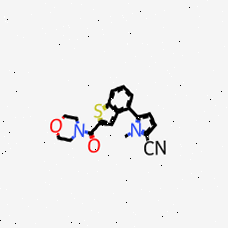 Cn1c(C#N)ccc1-c1cccc2sc(C(=O)N3CCOCC3)cc12